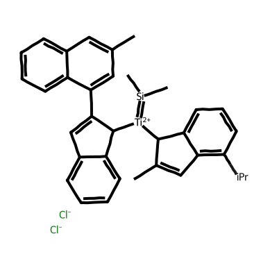 CC1=Cc2c(C(C)C)cccc2[CH]1[Ti+2]([CH]1C(c2cc(C)cc3ccccc23)=Cc2ccccc21)=[Si](C)C.[Cl-].[Cl-]